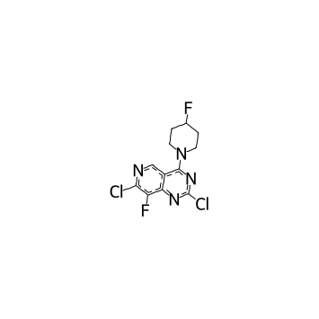 Fc1c(Cl)ncc2c(N3CCC(F)CC3)nc(Cl)nc12